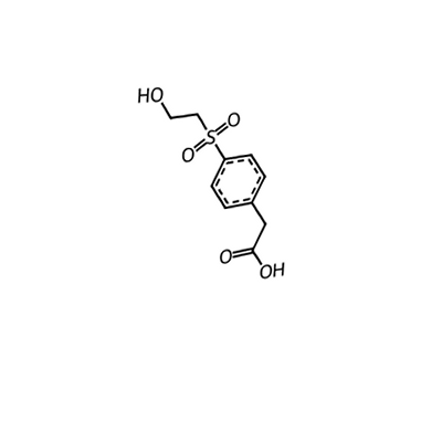 O=C(O)Cc1ccc(S(=O)(=O)CCO)cc1